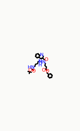 CC(C)(C)OC(=O)NCCCCNc1c(C(=O)NCCCC(=O)OCc2ccccc2)cnc2ccccc12